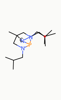 CC(C)CN1CC2(C)CN(CC(C)C)P1N(CC(C)C)C2